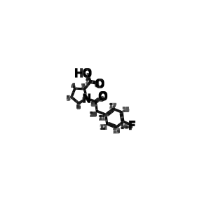 O=C(O)C1CCCN1C(=O)Cc1ccc(F)cc1